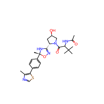 CC(=O)NC(C(=O)N1C[C@H](O)C[C@H]1C1=NO[C@](C)(c2ccc(-c3scnc3C)cc2)N1)C(C)(C)C